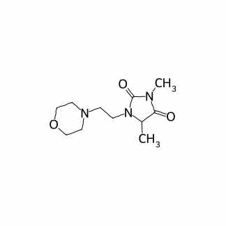 CC1C(=O)N(C)C(=O)N1CCN1CCOCC1